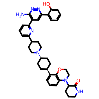 Nc1nnc(-c2ccccc2O)cc1-c1cccc(C2CCN([C@H]3CC[C@H](c4cccc5c4OCCN5C4CCCNC4=O)CC3)CC2)n1